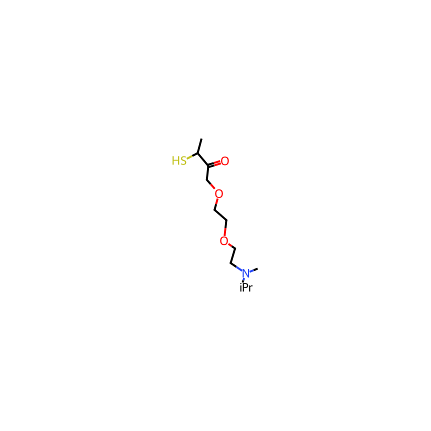 CC(S)C(=O)COCCOCCN(C)C(C)C